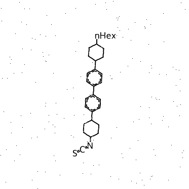 CCCCCCC1CCC(c2ccc(-c3ccc(C4CCC(N=C=S)CC4)cc3)cc2)CC1